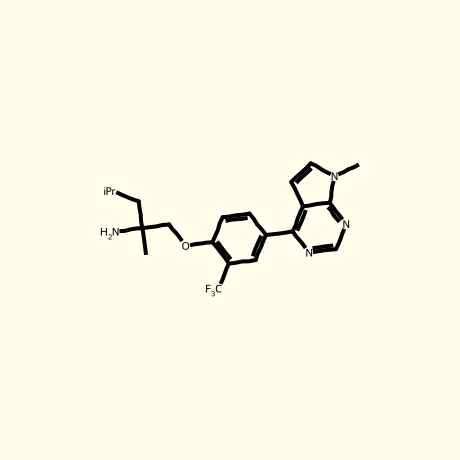 CC(C)CC(C)(N)COc1ccc(-c2ncnc3c2ccn3C)cc1C(F)(F)F